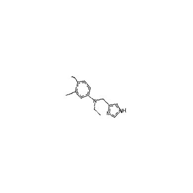 CCN(Cc1c[nH]cn1)c1ccc(C)c(C)c1